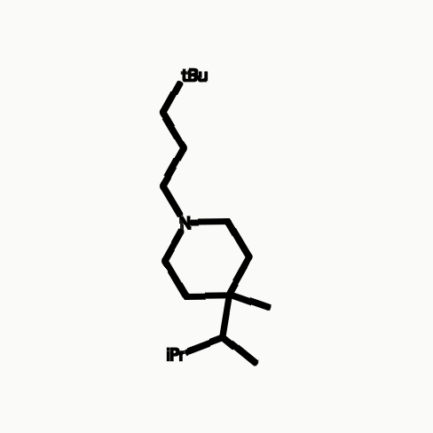 CC(C)C(C)C1(C)CCN(CCCC(C)(C)C)CC1